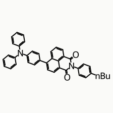 CCCCc1ccc(N2C(=O)c3cccc4c(-c5ccc(N(c6ccccc6)c6ccccc6)cc5)ccc(c34)C2=O)cc1